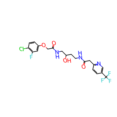 O=C(COc1ccc(Cl)c(F)c1)NCC(O)CCNC(=O)Cc1ccc(C(F)(F)F)cn1